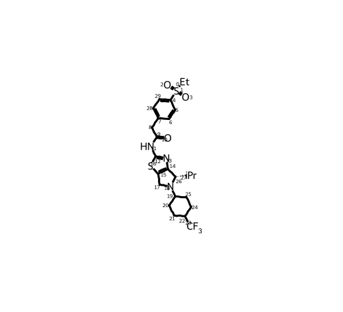 CCS(=O)(=O)c1ccc(CC(=O)Nc2nc3c(s2)CN(C2CCC(C(F)(F)F)CC2)[C@H]3C(C)C)cc1